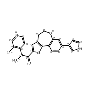 CN(C(=O)c1cc2c(s1)-c1ccc(-c3cn[nH]c3)cc1OCC2)c1ccncc1Cl